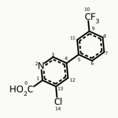 O=C(O)c1ncc(-c2cccc(C(F)(F)F)c2)cc1Cl